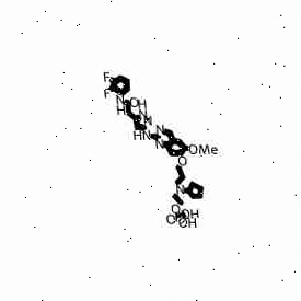 COc1cc2cnc(Nc3cc(CC(=O)Nc4cccc(F)c4F)[nH]n3)nc2cc1OCCCN(CCOP(=O)(O)O)C1CCCC1